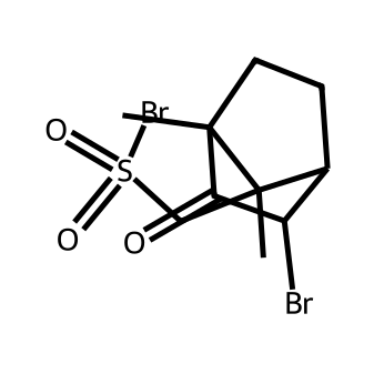 CC12CCC(C(Br)C1=O)C2(C)CS(=O)(=O)Br